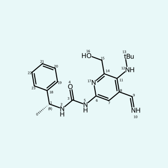 C[C@@H](NC(=O)Nc1cc(C=N)c(NC(C)(C)C)c(CO)n1)c1ccccc1